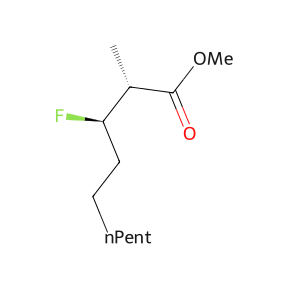 CCCCCCC[C@@H](F)[C@H](C)C(=O)OC